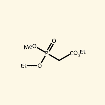 CCOC(=O)CP(=O)(OC)OCC